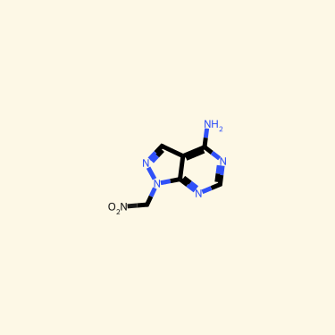 Nc1ncnc2c1cnn2C[N+](=O)[O-]